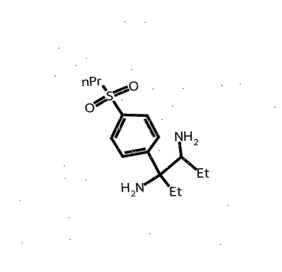 CCCS(=O)(=O)c1ccc(C(N)(CC)C(N)CC)cc1